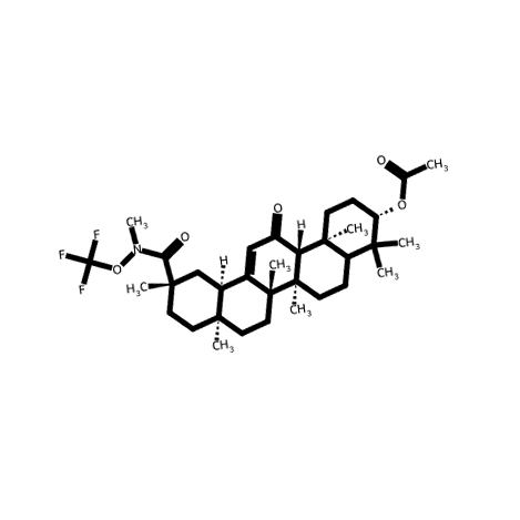 CC(=O)O[C@H]1CC[C@@]2(C)C(CC[C@]3(C)[C@@H]2C(=O)C=C2[C@@H]4C[C@@](C)(C(=O)N(C)OC(F)(F)F)CC[C@]4(C)CC[C@]23C)C1(C)C